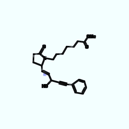 COC(=O)CCCCCCN1C(=O)CCC1/C=C/C(O)C#Cc1ccccc1